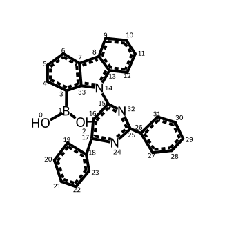 OB(O)c1cccc2c3ccccc3n(-c3cc(-c4ccccc4)nc(-c4ccccc4)n3)c12